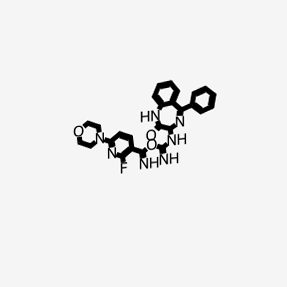 N=C(NC1N=C(c2ccccc2)c2ccccc2NC1=O)OC(=N)c1ccc(N2CCOCC2)nc1F